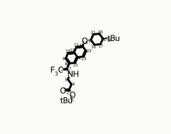 CC(C)(C)OC(=O)CCNC(c1ccc2cc(O[C@H]3CC[C@H](C(C)(C)C)CC3)ccc2c1)C(F)(F)F